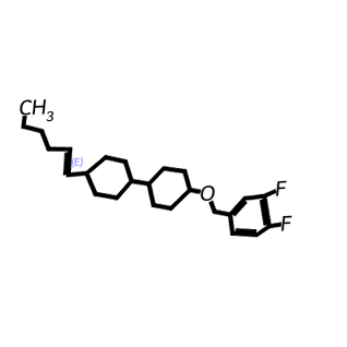 CCCC/C=C/C1CCC(C2CCC(OCc3ccc(F)c(F)c3)CC2)CC1